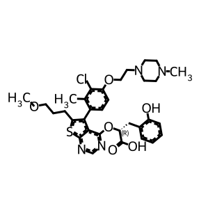 COCCCc1sc2ncnc(O[C@H](Cc3ccccc3O)C(=O)O)c2c1-c1ccc(OCCN2CCN(C)CC2)c(Cl)c1C